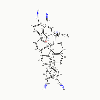 C/C=C\C1=C(/C=C2/C=CC(C#N)=CC2C)C2(c3cc(-c4ccc(C#N)cc4)ccc3CC1)c1cc(-c3ccc(C#N)cc3)ccc1-c1ccc(-c3ccc(C#N)cc3)cc12